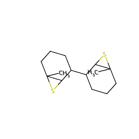 CC12CCCC(C3CCCC4(C)SC34)C1S2